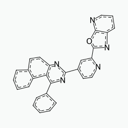 c1ccc(-c2nc(-c3ccnc(-c4nc5cccnc5o4)c3)nc3ccc4ccccc4c23)cc1